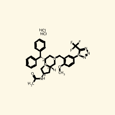 COc1ccc(-n2nnnc2C(F)(F)F)cc1CN1C[C@@H]2C[C@@H](NC(C)=O)CN2[C@H](C(c2ccccc2)c2ccccc2)C1.Cl.Cl